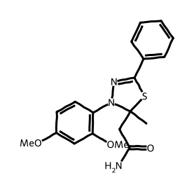 COc1ccc(N2N=C(c3ccccc3)SC2(C)CC(N)=O)c(OC)c1